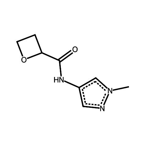 Cn1cc(NC(=O)C2CCO2)cn1